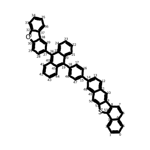 c1ccc2c(c1)ccc1c3cc4ccc(-c5ccc(-c6c7ccccc7c(-c7ccc8oc9ccccc9c8c7)c7ccccc67)cc5)cc4cc3sc21